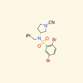 CC(C)CN([C@@H]1CCN(C#N)C1)S(=O)(=O)c1cc(Br)ccc1Br